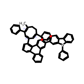 C/C1=C(c2ccccc2)/C=C(c2cccc3c4ccccc4c4cc(-c5ccc6c7ccccc7n(-c7ccccc7)c6c5)ccc4c23)\C=C(\c2ccccc2)CC1